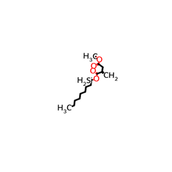 C=C(CC(=O)OC)C(=O)O[SiH2]CCCCCCCC